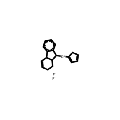 C1=CC[C]([Zr+2][CH]2c3ccccc3C3C=CCCC32)=C1.[F-].[F-]